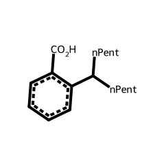 CCCCCC(CCCCC)c1ccccc1C(=O)O